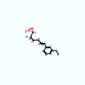 CCc1cccc(/C=C/CC[C@H](C)CO)c1